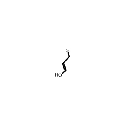 OC=CC[Si]